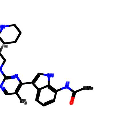 COC(=O)Nc1cccc2c(-c3nc(NCC[C@H]4CCCNC4)ncc3C(F)(F)F)c[nH]c12